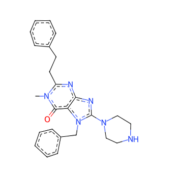 Cn1c(CCc2ccccc2)nc2nc(N3CCNCC3)n(Cc3ccccc3)c2c1=O